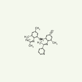 CC(=Nc1c(C)cccc1Br)c1cccnc1.C[C]([Fe+2])=Nc1c(C)cc(C)cc1C.[Cl-].[Cl-]